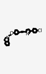 Clc1ccc(-c2ccc(C#Cc3ccc(OCCN4CCc5ccccc5C4)cc3)nc2)cc1